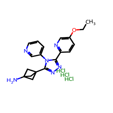 CCOc1ccc(-c2nnc(C34CC(N)(C3)C4)n2-c2cccnc2)nc1.Cl.Cl.Cl